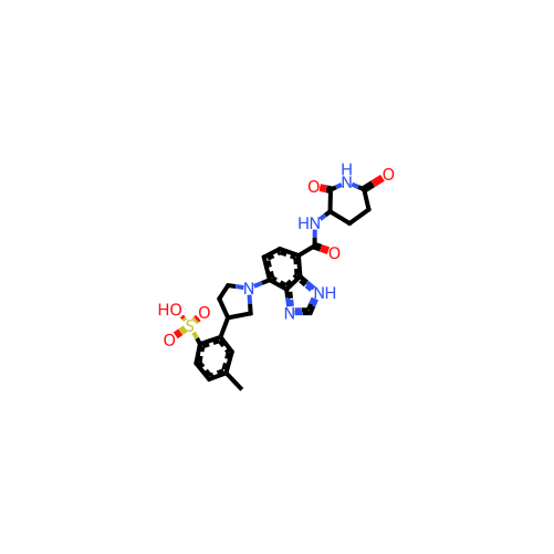 Cc1ccc(S(=O)(=O)O)c(C2CCN(c3ccc(C(=O)NC4CCC(=O)NC4=O)c4[nH]cnc34)C2)c1